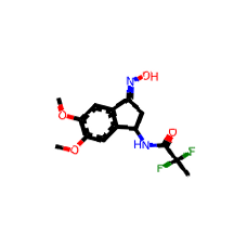 COc1cc2c(cc1OC)C(NC(=O)C(C)(F)F)C/C2=N\O